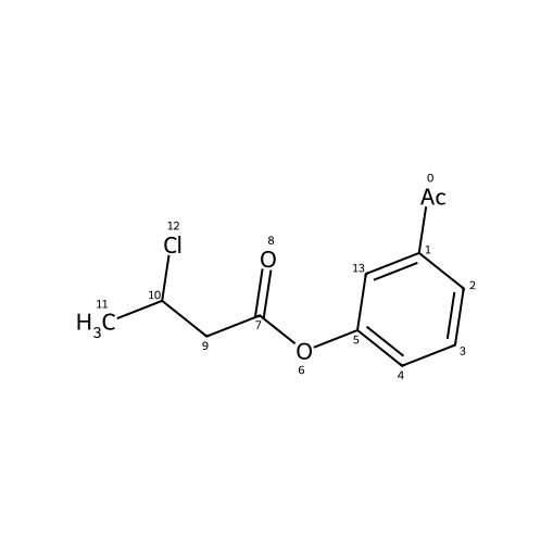 CC(=O)c1cccc(OC(=O)CC(C)Cl)c1